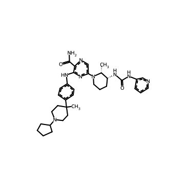 C[C@@H]1[C@H](NC(=O)Nc2cccnc2)CCCN1c1cnc(C(N)=O)c(Nc2ccc(C3(C)CCN(C4CCCC4)CC3)cc2)n1